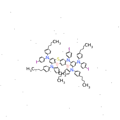 CCCCc1ccc(N(c2ccc(I)cc2)c2cc3c4c(c2)N(c2ccc(CCCC)cc2)c2ccc(C)cc2B4c2cc4c(cc2S3)N(c2ccc(I)cc2)c2cc(N(c3ccc(I)cc3)c3ccc(CCCC)cc3)cc3c2B4c2cc(CCCC)ccc2N3c2ccc(CCCC)cc2)cc1